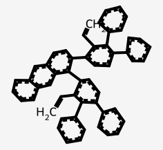 C=Cc1c(-c2ccc3cc4ccccc4cc3c2-c2ccc(-c3ccccc3)c(-c3ccccc3)c2C=C)ccc(-c2ccccc2)c1-c1ccccc1